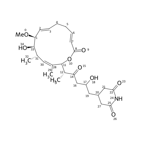 CO[C@H]1/C=C/CC/C=C/C(=O)OC([C@@H](C)C(=O)CC(O)CC2CC(=O)NC(=O)C2)/C(C)=C\[C@H](C)[C@H]1O